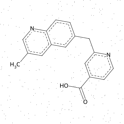 Cc1cnc2ccc(Cc3cc(C(=O)O)ccn3)cc2c1